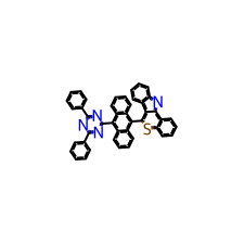 c1ccc(-c2nc(-c3ccccc3)nc(-c3c4ccccc4c(-c4sc5ccccc5c5nc6ccccc6c4-5)c4ccccc34)n2)cc1